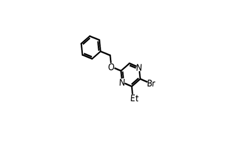 CCc1nc(OCc2ccccc2)cnc1Br